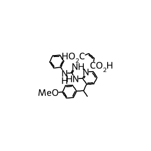 COc1ccc(C(C)c2cccnc2NC(=N)Nc2ccccc2)cc1.O=C(O)/C=C\C(=O)O